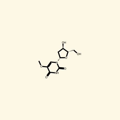 COc1cn([C@@H]2C[C@@H](O)[C@H](CO)O2)c(=O)[nH]c1=O